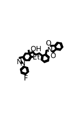 CCC1=Cc2c(cnn2-c2ccc(F)cc2)CC1(C)[C@@H](O)CCc1ccccc1CN1C(=O)c2ccccc2C1=O